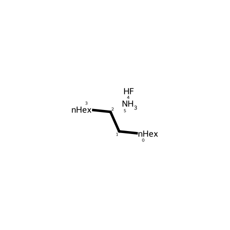 CCCCCCCCCCCCCC.F.N